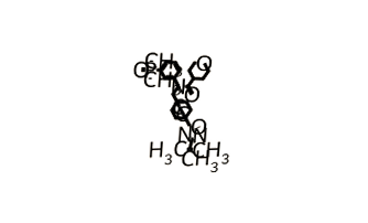 CC(C)(C)c1noc(C23CCC(CN(C(=O)C4CCOCC4)c4cccc(P(C)(C)=O)c4)(CC2)CC3)n1